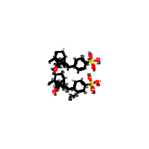 CC12CCC(C(=Cc3ccc(S(=O)(=O)[O-])cc3)C1=O)C2(C)C.CC12CCC(C(=Cc3ccc(S(=O)(=O)[O-])cc3)C1=O)C2(C)C.[Zn+2]